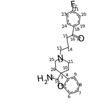 NC(=O)C1(c2ccccc2)CCN(CCCC(=O)c2ccc(F)cc2)CC1